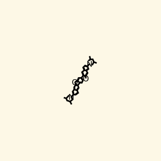 CC1CC(C)CN(c2ccc3cc4c(cc3c2)oc2cc3c(cc24)oc2cc4cc(N5CC(C)CC(C)C5)ccc4cc23)C1